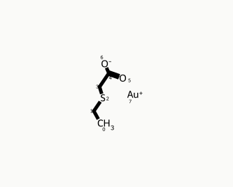 CCSCC(=O)[O-].[Au+]